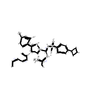 C=C(/C=C\C=C/C)[C@H]1CN(C(/N=C(/C)N)=N/S(=O)(=O)c2ccc(C3CCC3)cc2)N=C1c1ccc(Cl)cc1